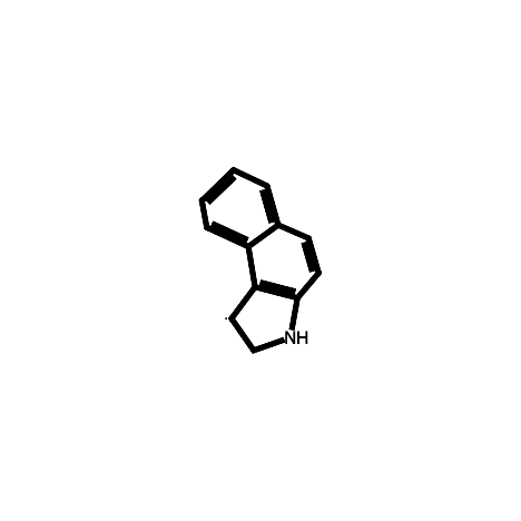 [CH]1CNc2ccc3ccccc3c21